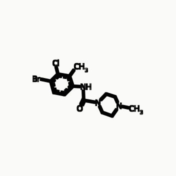 Cc1c(NC(=O)N2CCN(C)CC2)ccc(Br)c1Cl